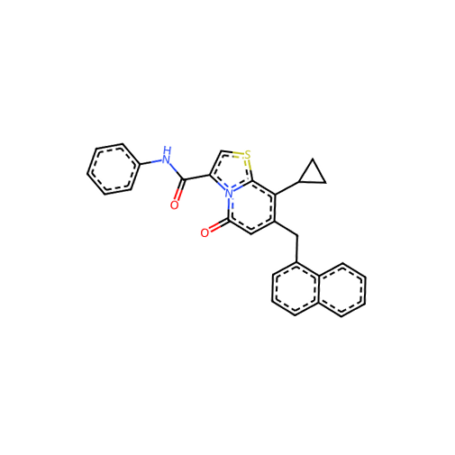 O=C(Nc1ccccc1)c1csc2c(C3CC3)c(Cc3cccc4ccccc34)cc(=O)n12